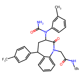 Cc1cccc(N(C(N)=O)C2CC(c3ccc(C(F)(F)F)cc3)c3ccccc3N(CC(=O)NC(C)(C)C)C2=O)c1